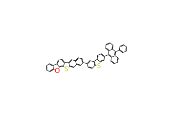 c1ccc(-c2c3ccccc3c(-c3ccc4c(c3)sc3ccc(-c5ccc6cc7c(cc6c5)sc5c7ccc6c7ccccc7oc65)cc34)c3ccccc23)cc1